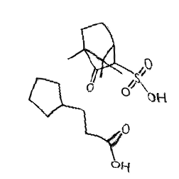 CC12CCC(C(S(=O)(=O)O)C1=O)C2(C)C.O=C(O)CCC1CCCC1